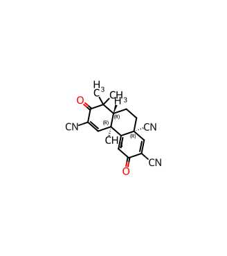 [C-]#[N+]C1=C[C@]2(C)C3=CC(=O)C(C#N)=C[C@]3(C#N)CC[C@H]2C(C)(C)C1=O